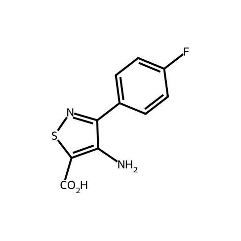 Nc1c(-c2ccc(F)cc2)nsc1C(=O)O